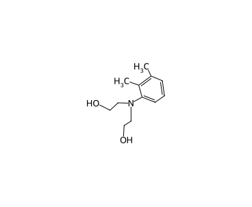 Cc1cccc(N(CCO)CCO)c1C